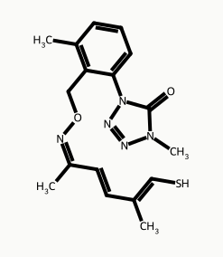 CC(C=CC(C)=NOCc1c(C)cccc1-n1nnn(C)c1=O)=CS